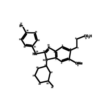 COc1cc2c(cc1CCC(=O)O)nc(Nc1ccc(C(C)C)cc1)n2C1CCCC(C)C1